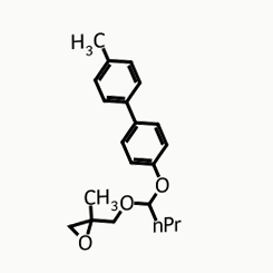 CCCC(OCC1(C)CO1)Oc1ccc(-c2ccc(C)cc2)cc1